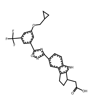 O=C(O)CC1CCc2c1[nH]c1ccc(-c3noc(-c4cc(OCC5CC5)cc(C(F)(F)F)c4)n3)cc21